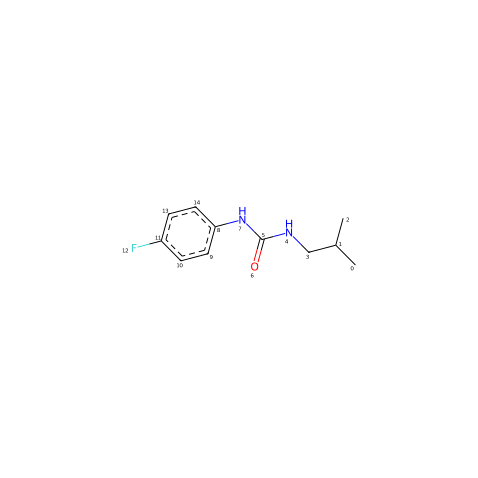 CC(C)CNC(=O)Nc1ccc(F)cc1